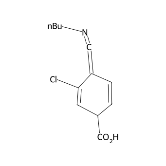 CCCCN=C=C1C=CC(C(=O)O)C=C1Cl